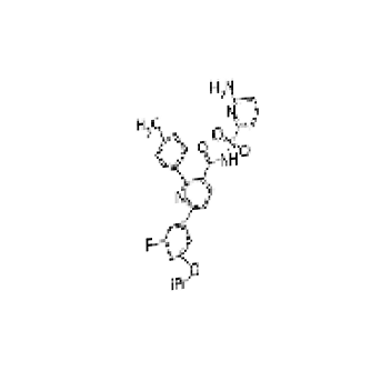 Cc1ccc(-c2nc(-c3cc(F)cc(OC(C)C)c3)ccc2C(=O)NS(=O)(=O)c2cccc(N)n2)cc1